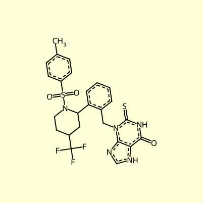 Cc1ccc(S(=O)(=O)N2CCC(C(F)(F)F)CC2c2ccccc2Cn2c(=S)[nH]c(=O)c3[nH]cnc32)cc1